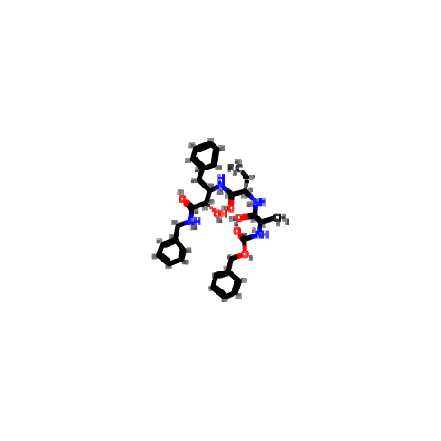 CC(NC(=O)OCc1ccccc1)C(=O)N[C@@H](CC(F)(F)F)C(=O)NC(Cc1ccccc1)[C@H](O)C(=O)NCc1ccccc1